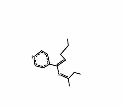 CCC/C=C(/N=C(/C)CC)c1ccncc1